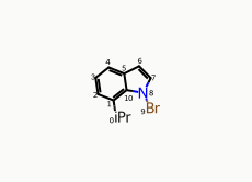 CC(C)c1cccc2ccn(Br)c12